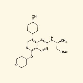 COC[C@H](C)Nc1ncc2c(OC3CCOCC3)ncc([C@H]3CC[C@H](O)CC3)c2n1